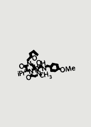 COc1ccc(CNC(=O)N2[C@H]3CN(Cc4ccco4)C(=O)[C@H](C(C)C)N3C(=O)CN2C)cc1